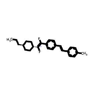 CCC[C@H]1CC[C@H](/C(F)=C(\F)c2ccc(C=Cc3ccc(C)cc3)cc2)CC1